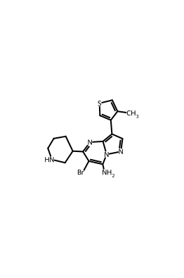 Cc1cscc1-c1cnn2c(N)c(Br)c(C3CCCNC3)nc12